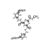 C=CC(=O)N1CN(C(=O)CCn2cc[n+](CCCCCC)c2)CN(C(=O)CCn2cc[n+](CCCCCC)c2)C1